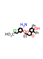 CCC1(COc2cccc(CC(Cl)C(=O)O)c2)CC(=O)c2c(cc(C(C)C)c(O)c2C(C)C)O1.N